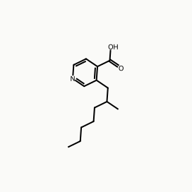 CCCCCC(C)Cc1cnccc1C(=O)O